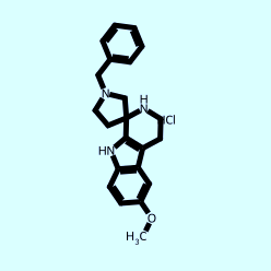 COc1ccc2[nH]c3c(c2c1)CCNC31CCN(Cc2ccccc2)C1.Cl